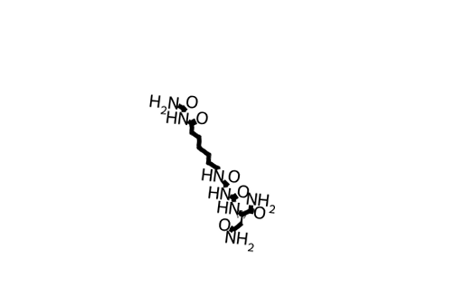 NC(=O)C[C@@H](NC(=O)NC(=O)NCCCCCCC(=O)NC(N)=O)C(N)=O